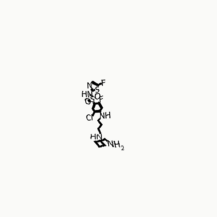 NCC1(NCCCCNc2cc(F)c(S(=O)(=O)Nc3ncc(F)s3)cc2Cl)CCC1